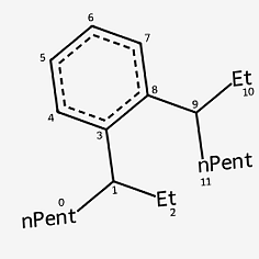 CCCCCC(CC)c1ccccc1C(CC)CCCCC